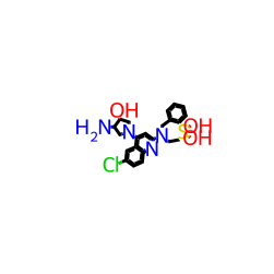 NC1CN(c2cc(N3CCS(O)(O)c4ccccc4C3)nc3ccc(Cl)cc23)CC1O